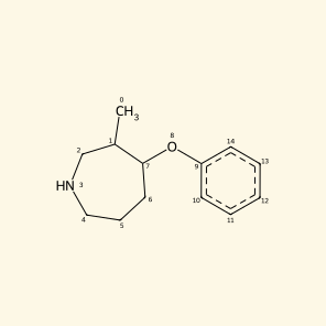 CC1CNCCCC1Oc1ccccc1